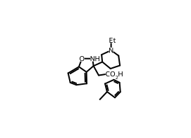 CCN1CCCC(C2(CC(=O)O)NOc3ccccc32)C1.Cc1ccccc1